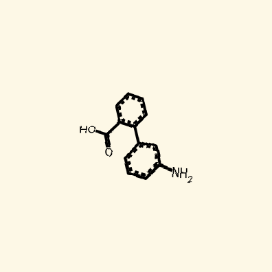 Nc1cccc(-c2ccccc2C(=O)O)c1